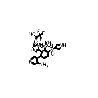 Nc1cnccc1-c1ccc(S(=O)(=O)C2CNC2)c(S(N)(=O)=O)c1-c1nnn[nH]1.O=C(O)C(F)(F)F